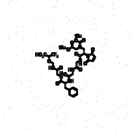 CC(C)(C)OC(=O)CN(C[C@H](C(=O)NCC(=O)NCC(=O)N[C@@H](Cc1ccccc1)C(=O)NCC(=O)NCOC(C(=O)O)C(F)(F)F)N1C(=O)C=CC1=O)C(=O)OC(C)(C)C